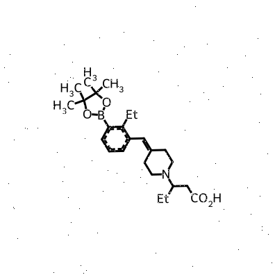 CCc1c(C=C2CCN(C(CC)CC(=O)O)CC2)cccc1B1OC(C)(C)C(C)(C)O1